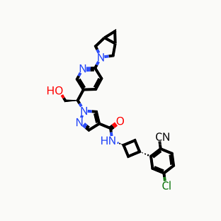 N#Cc1ccc(Cl)cc1[C@H]1C[C@@H](NC(=O)c2cnn([C@@H](CO)c3ccc(N4CC5CC5C4)nc3)c2)C1